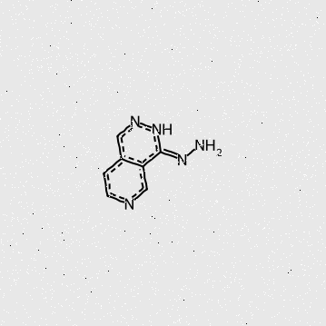 N/N=c1\[nH]ncc2ccncc12